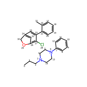 CCCN1CCN(c2ccccc2)CC1.Cc1ccccc1-c1cc2cc(c1Cl)OC2